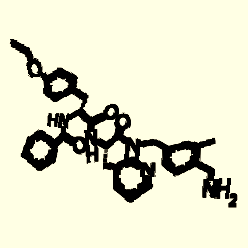 CCOc1ccc(C[C@@H](NC(=O)c2ccccc2)C(=O)N[C@@H](Cc2cccnc2)C(=O)NCc2ccc(CN)c(C)c2)cc1